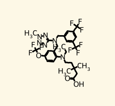 CCN(CCC(C)(C)CC(=O)O)c1ccc(OC(F)(F)F)cc1CN(Cc1cc(C(F)(F)F)cc(C(F)(F)F)c1)c1nnn(C)n1